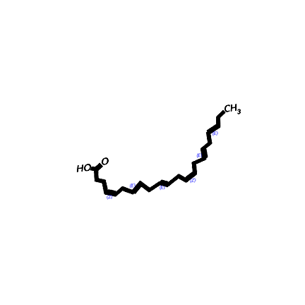 CC/C=C/C/C=C/C/C=C\C/C=C/C/C=C/C/C=C\CCC(=O)O